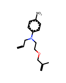 C=CCN(CCOCC(=C)C)c1ccc([N+](=O)[O-])cc1